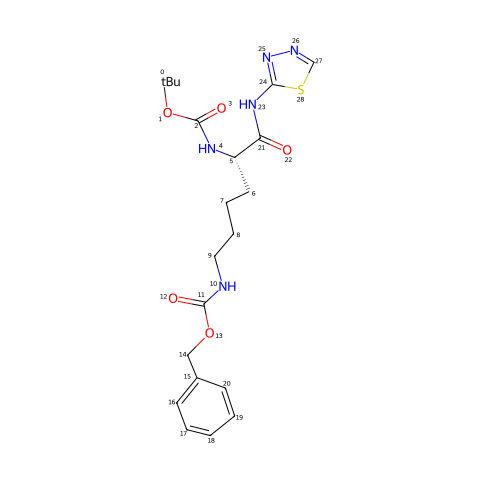 CC(C)(C)OC(=O)N[C@@H](CCCCNC(=O)OCc1ccccc1)C(=O)Nc1nncs1